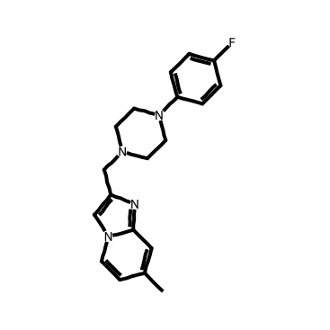 Cc1ccn2cc(CN3CCN(c4ccc(F)cc4)CC3)nc2c1